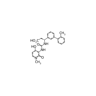 Cc1ccccc1-c1cccc([C@H](CC(=O)O)NC(=O)Nc2c(O)ccn(C)c2=O)c1